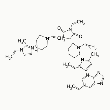 C=CN1C(=O)CCC1=O.C=CN1CCCCC1.C=CN1CCNCC1.C=Cn1ccc(C)n1.C=Cn1ccnc1C.C=Cn1cnc2ncnc-2c1